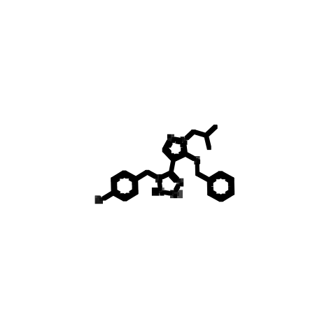 CC(C)Cn1ncc(C2=NNNN2Cc2ccc(Br)cc2)c1SCc1ccccc1